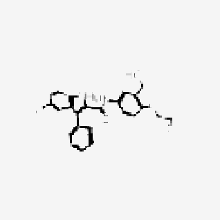 CCCOc1ccc(NC(=O)c2[nH]c3ccc(F)cc3c2-c2ccccc2)cc1CO